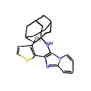 Cc1ccsc1-c1nc2ccccn2c1NC12CC3CC(CC(C3)C1)C2